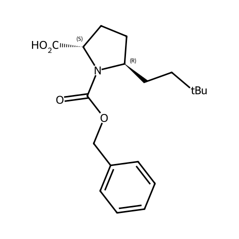 CC(C)(C)CC[C@@H]1CC[C@@H](C(=O)O)N1C(=O)OCc1ccccc1